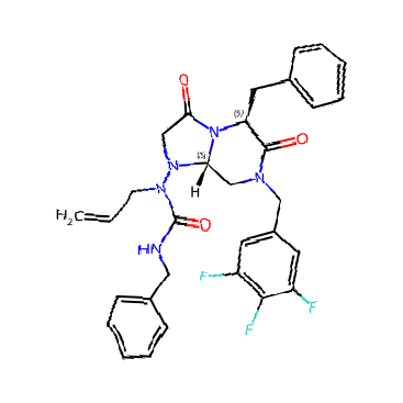 C=CCN(C(=O)NCc1ccccc1)N1CC(=O)N2[C@@H](Cc3ccccc3)C(=O)N(Cc3cc(F)c(F)c(F)c3)C[C@@H]21